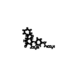 CCOC(=O)c1c(-c2ccc(OCC(=O)O)cc2)c2oc3ccccc3c2[nH]c1=O